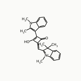 Cc1c(C2=C(O)/C(=C/C3=[N+](C)c4ccccc4C3(C)C)C2=O)c2ccccc2n1C